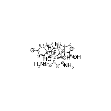 C[C@@H]1C[C@H]2[C@@H]3CCC4=CC(=O)C=C[C@]4(C)[C@@]3(F)[C@@H](O)C[C@]2(C)[C@@]1(O)C(=O)CO.NCCCCCN